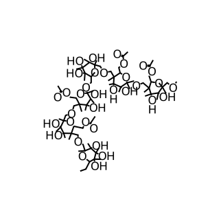 CCC1OC(C)(COCC2(C)C(COC(C)=O)OC(C)(COCC3(C)C(COC(C)=O)OC(C)(OCC4OC(C)(COCC5(C)C(COC(C)=O)OC(C)(COCC6(C)C(COC(C)=O)OC(C)(COC)C(C)(O)C6(C)O)C(C)(O)C5(C)O)C(C)(O)C(C)(O)C4(C)O)C(C)(O)C3(C)O)C(C)(O)C2(C)O)C(C)(O)C(C)(O)C1(C)O